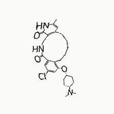 Cc1cc2c(c(=O)[nH]1)CNC(=O)c1cc(Cl)cc(O[C@H]3CC[C@H](N(C)C)CC3)c1CCCCC2